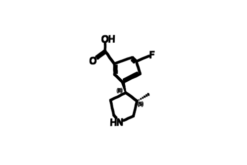 C[C@@H]1CNCC[C@H]1c1cc(F)cc(C(=O)O)c1